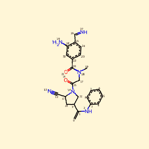 C=C(Nc1ccccc1)C1CC(C#N)N(C(=O)CN(C)C(=O)c2ccc(C=N)c(N)c2)C1